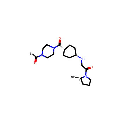 CCC(=O)N1CCN(C(=O)[C@H]2CC[C@H](NCC(=O)N3CCC[C@H]3C#N)CC2)CC1